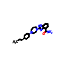 CCC[C@H]1CC[C@H](N2CCCN(c3nc4c(C(N)=O)cccc4[nH]3)CC2)CC1